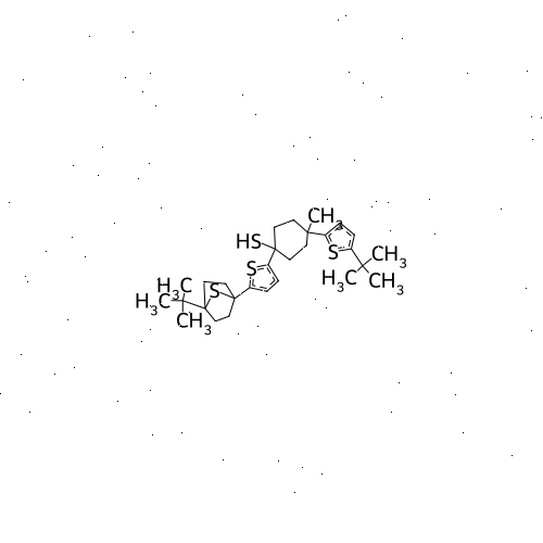 CC(C)(C)c1ccc(C2(C)CCC(S)(c3ccc(C45CCC(C(C)(C)C)(CC4)S5)s3)CC2)s1